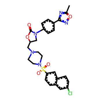 Cc1nc(-c2ccc(N3CC(CN4CCN(S(=O)(=O)c5ccc6cc(Cl)ccc6c5)CC4)OC3=O)cc2)no1